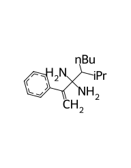 C=C(c1ccccc1)C(N)(N)C(CCCC)C(C)C